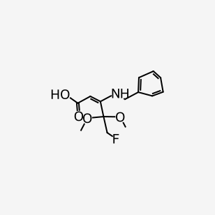 COC(CF)(OC)C(=CC(=O)O)NCc1ccccc1